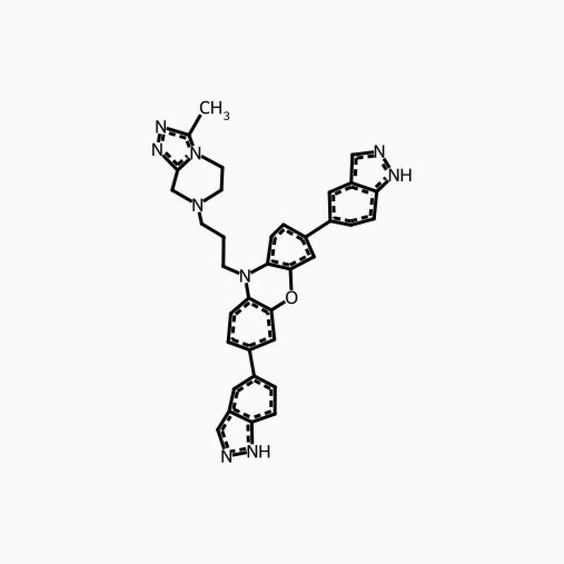 Cc1nnc2n1CCN(CCCN1c3ccc(-c4ccc5[nH]ncc5c4)cc3Oc3cc(-c4ccc5[nH]ncc5c4)ccc31)C2